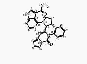 NC(=O)c1c[nH]c2ncnc(N3CCCC3c3nc4cccn4c(=O)n3-c3ccccc3)c12